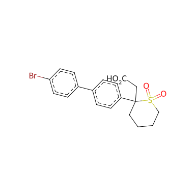 O=C(O)CC1(c2ccc(-c3ccc(Br)cc3)cc2)CCCCS1(=O)=O